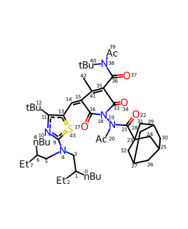 CCCCC(CC)CN(CC(CC)CCCC)c1nc(C(C)(C)C)c(/C=C2\C(=O)N(N(C(C)=O)C(=O)C34CC5CC(CC(C5)C3)C4)C(=O)C(C(=O)N(C(C)=O)C(C)(C)C)=C2C)s1